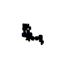 Cc1c(CNC(=O)/C=C/c2ccc(N)nc2)sc(-c2ccc(-c3ccc(C(=O)N4CC(F)C4)cc3)cc2-c2ccc(F)cc2)c1C